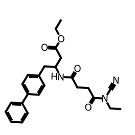 CCOC(=O)CC(Cc1ccc(-c2ccccc2)cc1)NC(=O)CCC(=O)N(C#N)CC